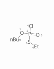 CCCCOP(=O)(Cl)SCC